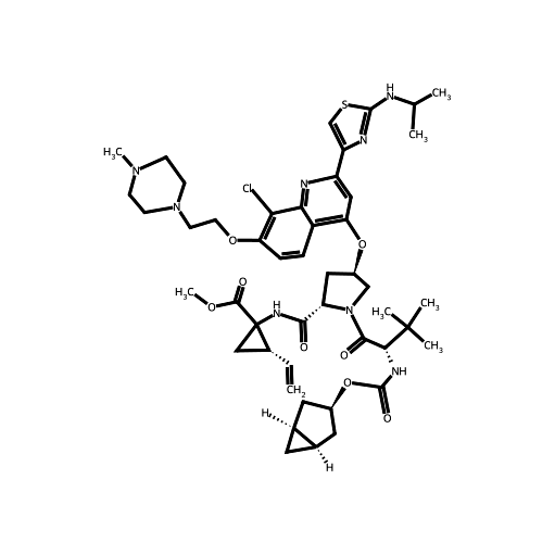 C=C[C@@H]1CC1(NC(=O)[C@@H]1C[C@@H](Oc2cc(-c3csc(NC(C)C)n3)nc3c(Cl)c(OCCN4CCN(C)CC4)ccc23)CN1C(=O)[C@@H](NC(=O)O[C@@H]1C[C@@H]2C[C@@H]2C1)C(C)(C)C)C(=O)OC